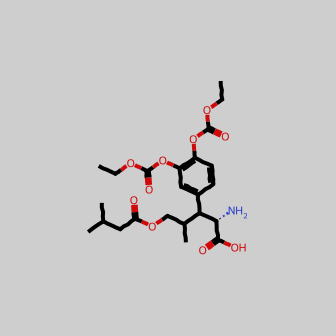 CCOC(=O)Oc1ccc(C(C(C)COC(=O)CC(C)C)[C@H](N)C(=O)O)cc1OC(=O)OCC